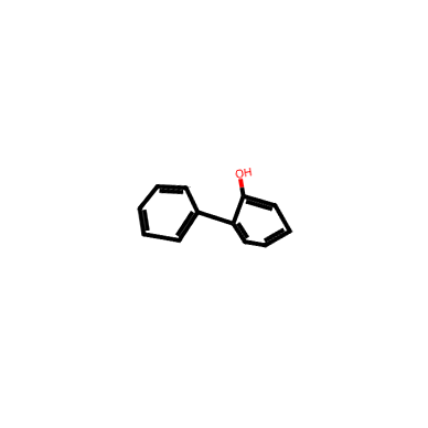 Oc1ccccc1-c1[c]cccc1